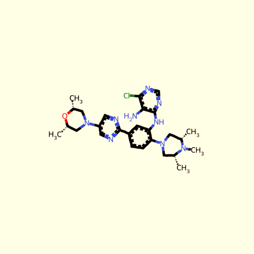 C[C@@H]1CN(c2cnc(-c3ccc(N4C[C@@H](C)N(C)[C@@H](C)C4)c(Nc4ncnc(Cl)c4N)c3)nc2)C[C@H](C)O1